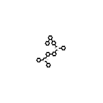 c1ccc(-c2cc(-c3cccc(-c4cccc(-c5nc(-c6ccccc6)nc(-c6ccc(-c7ccccc7-c7ccccc7)cc6)n5)c4)c3)nc(-c3ccccc3)n2)cc1